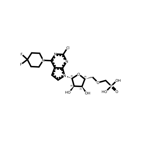 O=P(O)(O)COC[C@H]1O[C@@H](n2ccc3c(N4CCC(F)(F)CC4)nc(Cl)nc32)[C@H](O)[C@@H]1O